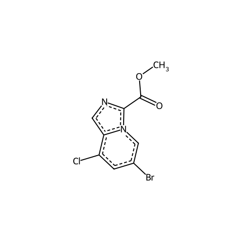 COC(=O)c1ncc2c(Cl)cc(Br)cn12